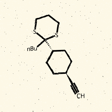 C#C[C@H]1CC[C@H](C2(CCCC)SCCCS2)CC1